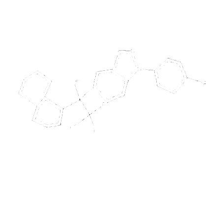 OC(c1ccc2c(cnn2-c2ccc(F)cc2)c1)(c1cccc2ccccc12)C(F)(F)F